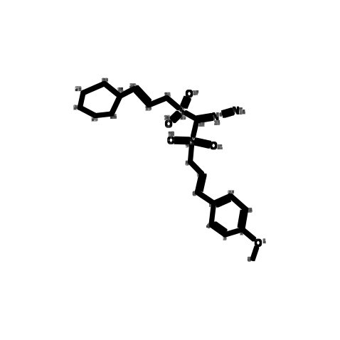 COc1ccc(C=CCS(=O)(=O)C(=[N+]=[N-])S(=O)(=O)CC=CC2CCCCC2)cc1